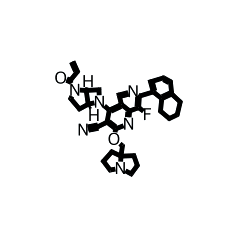 C=CC(=O)N1CC[C@@H]2[C@H]1CN2c1c(C#N)c(OCC23CCCN2CCC3)nc2c(F)c(-c3cccc4c3CCCC4)ncc12